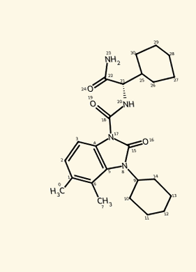 Cc1ccc2c(c1C)n(C1CCCCC1)c(=O)n2C(=O)N[C@H](C(N)=O)C1CCCCC1